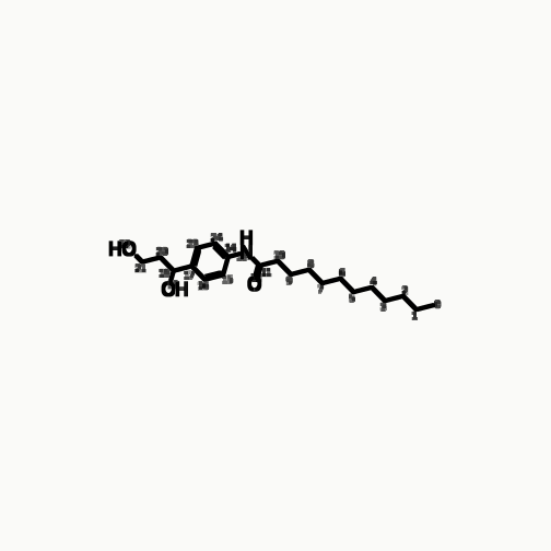 CCCCCCCCCCCC(=O)Nc1ccc(C(O)CCO)cc1